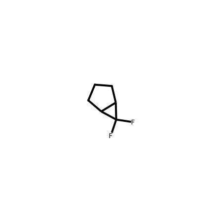 FC1(F)C2CCCC21